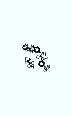 O=C(Nc1cccc([N+](=O)[O-])c1)Nc1ccc2nc(-c3cscn3)[nH]c2c1.O=C(O)C(F)(F)F